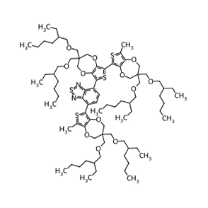 CCCCC(CC)COCC1(COCC(CC)CCCC)COc2c(C)sc(-c3sc(-c4ccc(-c5sc(C)c6c5OCC(COCC(CC)CCCC)(COCC(CC)CCCC)CO6)c5nsnc45)c4c3OCC(COCC(CC)CCCC)(COCC(CC)CCCC)CO4)c2OC1